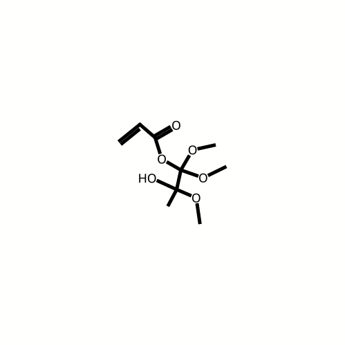 C=CC(=O)OC(OC)(OC)C(C)(O)OC